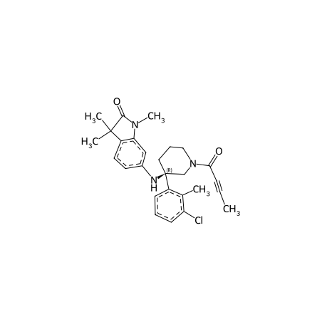 CC#CC(=O)N1CCC[C@@](Nc2ccc3c(c2)N(C)C(=O)C3(C)C)(c2cccc(Cl)c2C)C1